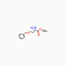 CC(C)(C)OC(=O)[C@@H](N)CCOCc1ccccc1